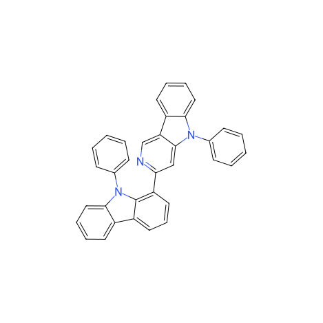 c1ccc(-n2c3ccccc3c3cnc(-c4cccc5c6ccccc6n(-c6ccccc6)c45)cc32)cc1